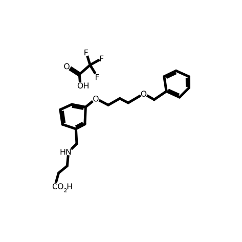 O=C(O)C(F)(F)F.O=C(O)CCNCc1cccc(OCCCOCc2ccccc2)c1